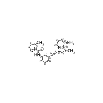 C[C@@H]1CCON1C(=O)Nc1cccc(C#CC2=CN(C)[C@@H]3C(N)=CC=CN23)c1